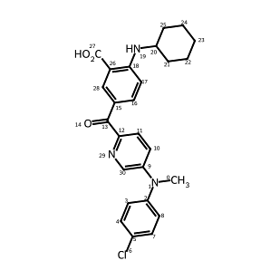 CN(c1ccc(Cl)cc1)c1ccc(C(=O)c2ccc(NC3CCCCC3)c(C(=O)O)c2)nc1